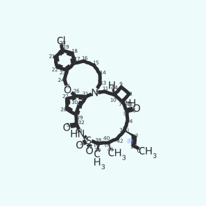 C/C=C/[C@@H]1CC(=O)[C@@H]2CC[C@H]2CN2CCCCc3cc(Cl)ccc3COc3ccc(cc32)C(=O)NS(=O)(=O)[C@H](C)[C@@H](C)C1